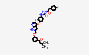 CC(C)=CC(=O)c1cccc(OCc2cc3c(Oc4ccc(NC(=O)NC(=O)Cc5ccc(F)cc5)cc4F)ccnc3[nH]2)c1